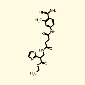 CCOC(=O)C(CNC(=O)CCC(=O)Nc1ccc(C(=N)N)c(C)c1)c1nccs1